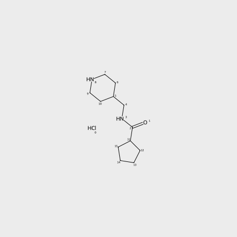 Cl.O=C(NCC1CCNCC1)C1CCCC1